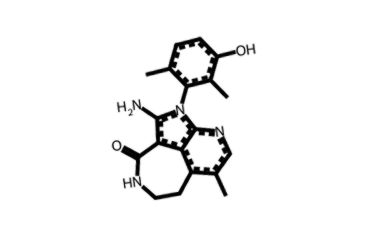 Cc1ccc(O)c(C)c1-n1c(N)c2c3c(c(C)cnc31)CCNC2=O